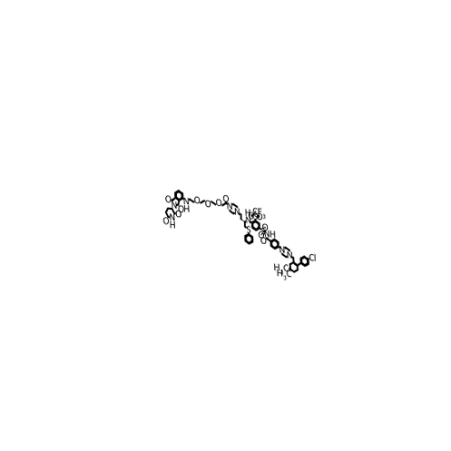 CC1(C)CCC(c2ccc(Cl)cc2)=C(CN2CCN(c3ccc(C(=O)NS(=O)(=O)c4ccc(N[C@H](CCN5CCN(C(=O)COCCOCCOCCNc6cccc7c6C(=O)N(C6CCC(=O)NC6=O)C7=O)CC5)CSc5ccccc5)c(S(=O)(=O)C(F)(F)F)c4)cc3)CC2)C1